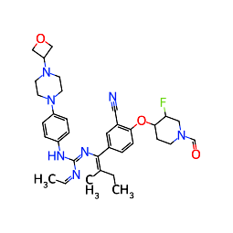 C\C=N/C(=N\C(=C(/C)CC)c1ccc(OC2CCN(C=O)CC2F)c(C#N)c1)Nc1ccc(N2CCN(C3COC3)CC2)cc1